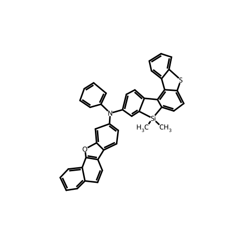 C[Si]1(C)c2cc(N(c3ccccc3)c3ccc4c(c3)oc3c5ccccc5ccc43)ccc2-c2c1ccc1sc3ccccc3c21